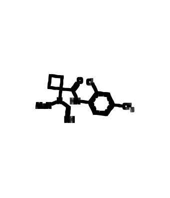 CNN(C=N)C1(C(=O)Nc2ccc(C(F)(F)F)cc2Cl)CCC1